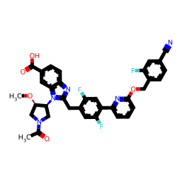 CO[C@H]1CN(C(C)=O)C[C@@H]1n1c(Cc2cc(F)c(-c3cccc(OCc4ccc(C#N)cc4F)n3)cc2F)nc2ccc(C(=O)O)cc21